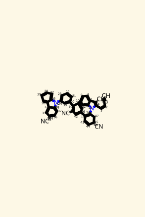 C#C/C=C\c1c(C)c2ccccc2n1C1=C(c2ccc(-c3cccc(-n4c5ccccc5c5cc(C#N)ccc54)c3)c(C#N)c2)C=CC(C#N)C1